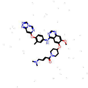 COc1cc2ncnc(Nc3ccc(Oc4cc5nncn5cn4)c(C)c3)c2cc1OC1CCN(C(=O)/C=C/CN(C)C)CC1